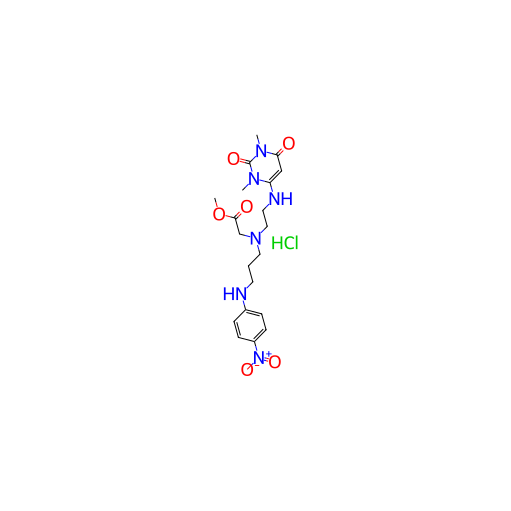 COC(=O)CN(CCCNc1ccc([N+](=O)[O-])cc1)CCNc1cc(=O)n(C)c(=O)n1C.Cl